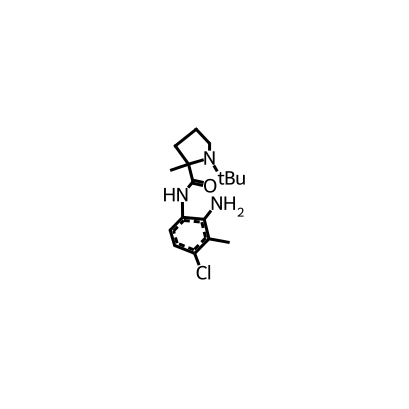 Cc1c(Cl)ccc(NC(=O)C2(C)CCCN2C(C)(C)C)c1N